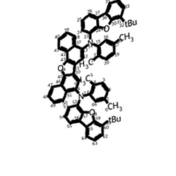 Cc1ccc(C)c(N(c2cc3c4cc(N(c5cc(C)ccc5C)c5cccc6c5oc5c(C(C)(C)C)cccc56)c5ccccc5c4oc3c3ccccc23)c2cccc3c2oc2c(C(C)(C)C)cccc23)c1